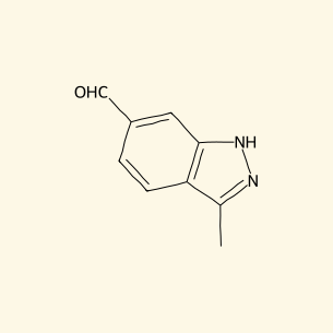 Cc1n[nH]c2cc(C=O)ccc12